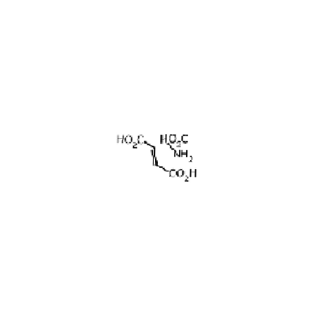 NC(=O)O.O=C(O)C=CC(=O)O